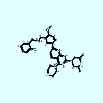 COc1ccc(-c2ccc3c(N4CCOCC4)nc(N4CC(C)OC(C)C4)nc3n2)cc1CNCc1ccccc1Cl